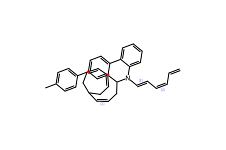 C=C/C=C\C=C\N(c1ccccc1-c1ccc(-c2ccc(C)cc2)cc1)C1C/C=C\C2CC=CC1=CC2